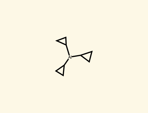 C1C[CH]1[Al]([CH]1CC1)[CH]1CC1